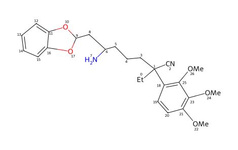 CCC(C#N)(CCCC(N)CC1Oc2ccccc2O1)c1ccc(OC)c(OC)c1OC